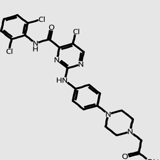 O=C(O)CN1CCN(c2ccc(Nc3ncc(Cl)c(C(=O)Nc4c(Cl)cccc4Cl)n3)cc2)CC1